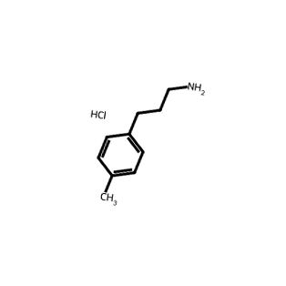 Cc1ccc(CCCN)cc1.Cl